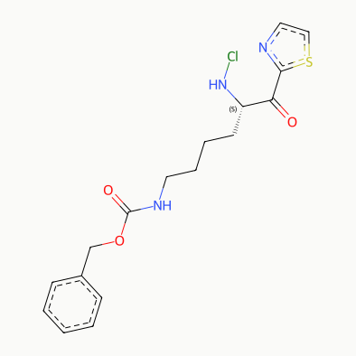 O=C(NCCCC[C@H](NCl)C(=O)c1nccs1)OCc1ccccc1